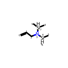 C=CCN([SiH](C)C)[SiH](C)C